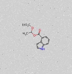 CCOC(=O)OC(C)OC(=O)c1cccc2[nH]ccc12